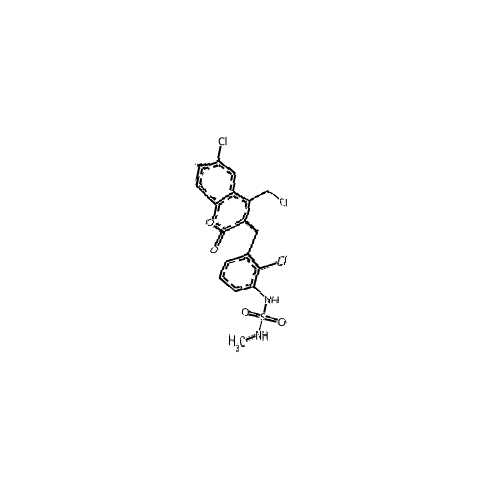 CNS(=O)(=O)Nc1cccc(Cc2c(CCl)c3cc(Cl)[c]cc3oc2=O)c1Cl